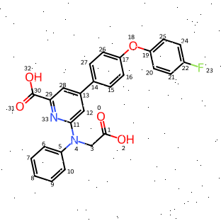 O=C(O)CN(c1ccccc1)c1cc(-c2ccc(Oc3ccc(F)cc3)cc2)cc(C(=O)O)n1